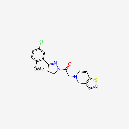 COc1ccc(Cl)cc1C1=NN(C(=O)CN2C=Cc3sncc3C2)CC1